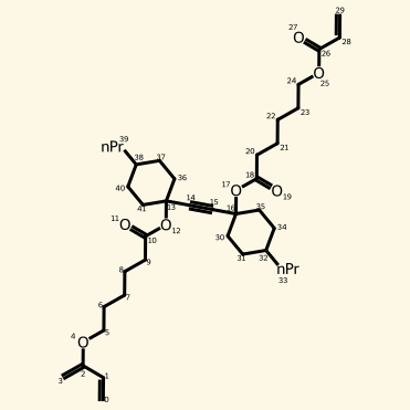 C=CC(=C)OCCCCCC(=O)OC1(C#CC2(OC(=O)CCCCCOC(=O)C=C)CCC(CCC)CC2)CCC(CCC)CC1